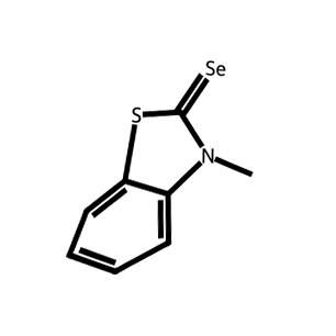 Cn1c(=[Se])sc2ccccc21